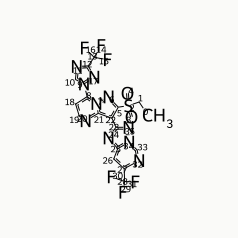 CCS(=O)(=O)c1nn2c(-n3cnc(C(F)(F)F)n3)ccnc2c1-c1nc2cc(C(F)(F)F)ncn2n1